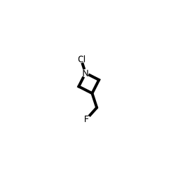 FCC1CN(Cl)C1